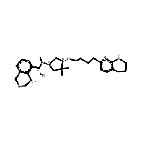 C[C@@H]1COCc2cccc([C@@H](C(=O)O)N(C)[C@H]3C[C@H](OCCCCc4ccc5c(n4)NCCC5)C(C)(C)C3)c21